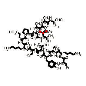 CSCC[C@H](NC(=O)[C@@H]1CCCN1C(=O)[C@H](CCC(=O)O)NC(=O)[C@H](CCCCN)NC(=O)[C@H](CS)NC(=O)[C@@H](NC(=O)[C@H](Cc1ccc(O)cc1)NC(=O)[C@H](CS)NC(=O)[C@H](CCCCN)NC(=O)[C@@H](N)CC(C)C)[C@@H](C)O)C(=O)N[C@H](C(=O)N[C@H](C(=O)N[C@@H](C)C(=O)N[C@@H](C)[C]=O)[C@@H](C)O)[C@@H](C)O